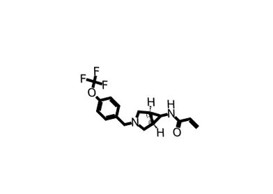 C=CC(=O)NC1[C@H]2CN(Cc3ccc(OC(F)(F)F)cc3)C[C@@H]12